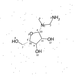 CN(CN)[C@H]1O[C@@H](CO)C(O)C1O